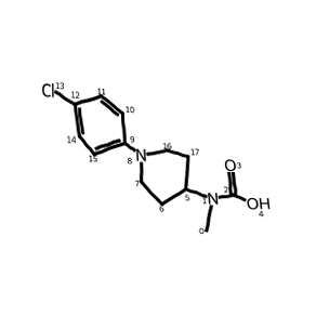 CN(C(=O)O)C1CCN(c2ccc(Cl)cc2)CC1